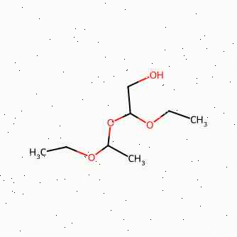 CCOC(C)OC(CO)OCC